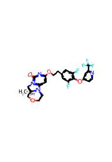 C[C@@]12COCCN1c1cc(OCCc3cc(F)c(Oc4ccnc(C(F)(F)F)c4)c(F)c3)nc(=O)n1C2